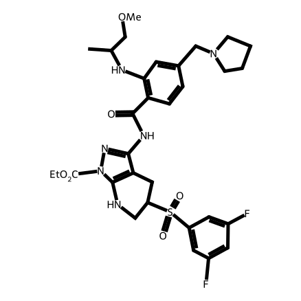 CCOC(=O)n1nc(NC(=O)c2ccc(CN3CCCC3)cc2NC(C)COC)c2c1NCC(S(=O)(=O)c1cc(F)cc(F)c1)C2